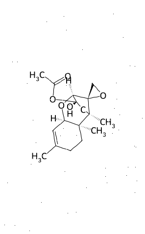 CC(=O)O[C@@]1(O)C[C@]2(C)[C@@]3(C)CCC(C)=C[C@H]3O[C@H]1[C@@]21CO1